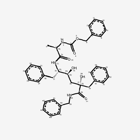 C[C@@H](NC(=O)OCc1ccccc1)C(=O)N[C@@H](Cc1ccccc1)[C@@H](O)C[C@@](O)(Cc1ccccc1)C(=O)NCc1ccccc1